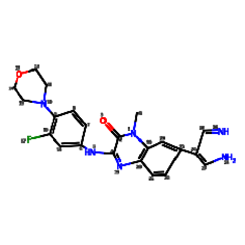 Cn1c(=O)c(Nc2ccc(N3CCOCC3)c(F)c2)nc2ccc(/C(C=N)=C/N)cc21